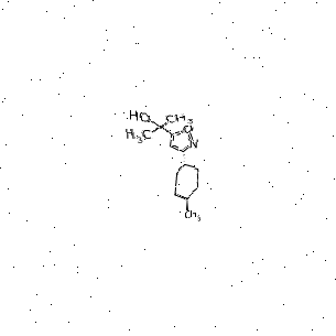 CC(C)(O)c1cc([C@H]2CC[C@H](C)CC2)no1